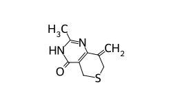 C=C1CSCc2c1nc(C)[nH]c2=O